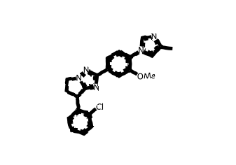 COc1cc(-c2nc3n(n2)CCC3c2ccccc2Cl)ccc1-n1cnc(C)c1